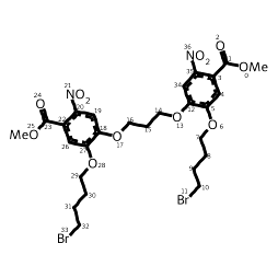 COC(=O)c1cc(OCCCCBr)c(OCCCOc2cc([N+](=O)[O-])c(C(=O)OC)cc2OCCCCBr)cc1[N+](=O)[O-]